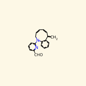 C=C1/C=C\C=C/CN(c2cccc(C=O)n2)c2ccccc21